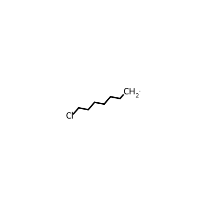 [CH2]CCCCCCCl